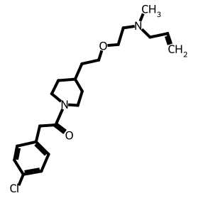 C=CCN(C)CCOCCC1CCN(C(=O)Cc2ccc(Cl)cc2)CC1